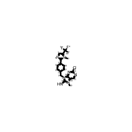 Cn1c(C(F)(F)F)cnc1-c1ccc(Cn2c(=N)n(C)c3cnc(Cl)nc32)cc1